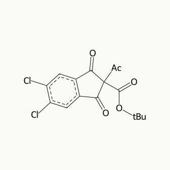 CC(=O)C1(C(=O)OC(C)(C)C)C(=O)c2cc(Cl)c(Cl)cc2C1=O